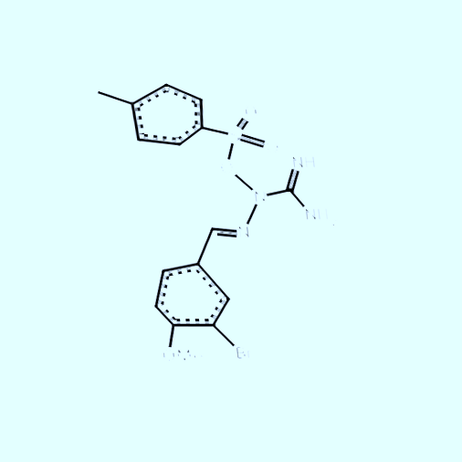 COc1ccc(C=NN(OS(=O)(=O)c2ccc(C)cc2)C(=N)N)cc1Br